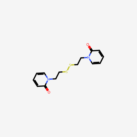 O=c1ccccn1CCSSCCn1ccccc1=O